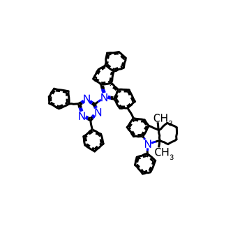 CC12CCCCC1(C)N(c1ccccc1)c1ccc(-c3ccc4c5c6ccccc6ccc5n(-c5nc(-c6ccccc6)nc(-c6ccccc6)n5)c4c3)cc12